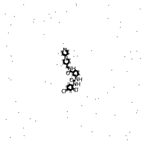 O=C(Nc1cccc(C(=O)NCC2CCN(c3ccncc3)CC2)c1)Nc1ccc(Cl)cc1Cl